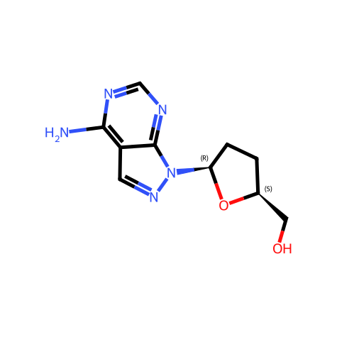 Nc1ncnc2c1cnn2[C@H]1CC[C@@H](CO)O1